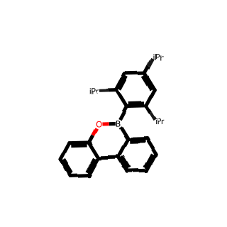 CC(C)c1cc(C(C)C)c(B2Oc3ccccc3-c3ccccc32)c(C(C)C)c1